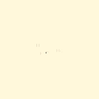 I.I.[Hg].[KH]